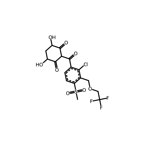 CS(=O)(=O)c1ccc(C(=O)C2C(=O)C(O)CC(O)C2=O)c(Cl)c1COCC(F)(F)F